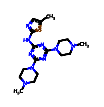 Cc1cnc(Nc2nc(N3CCN(C)CC3)nc(N3CCN(C)CC3)n2)s1